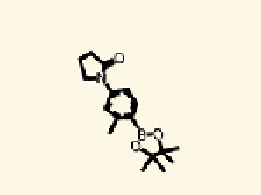 Cc1cc(N2CCCC2=O)ccc1B1OC(C)(C)C(C)(C)O1